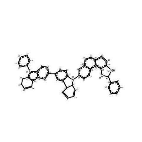 C1=CC2c3cc(-c4ccc5c(c4)c4c(n5-c5ccccc5)CCC=C4)ccc3N(c3ccc4c(ccc5ccc6c(c54)OC(c4ccccc4)N6)c3)C2C=C1